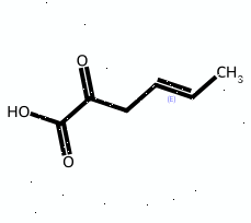 C/C=C/CC(=O)C(=O)O